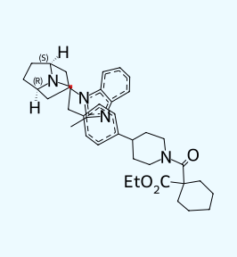 CCOC(=O)C1(C(=O)N2CCC(c3ccc(CCN4[C@@H]5CC[C@H]4CC(n4c(C)nc6ccccc64)C5)cc3)CC2)CCCCC1